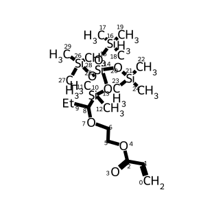 C=CC(=O)OCCOC(CC)[Si](C)(C)O[Si](O[Si](C)(C)C)(O[Si](C)(C)C)O[Si](C)(C)C